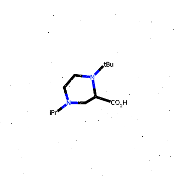 CC(C)N1CCN(C(C)(C)C)C(C(=O)O)C1